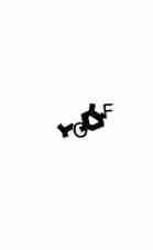 CC1=C(F)CCC(OCC(C)C)=C1